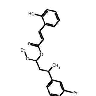 CCOC(CC(C)c1cccc(C(C)C)c1)OC(=O)/C=C/c1ccccc1O